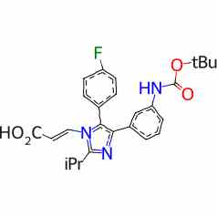 CC(C)c1nc(-c2cccc(NC(=O)OC(C)(C)C)c2)c(-c2ccc(F)cc2)n1/C=C/C(=O)O